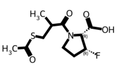 CC(=O)SCC(C)C(=O)N1CC[C@@H](F)[C@H]1C(=O)O